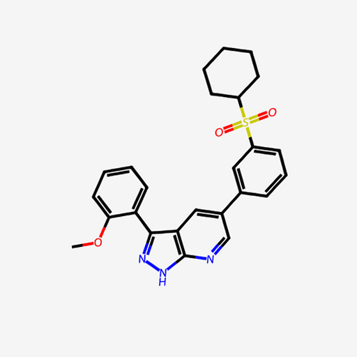 COc1ccccc1-c1n[nH]c2ncc(-c3cccc(S(=O)(=O)C4CCCCC4)c3)cc12